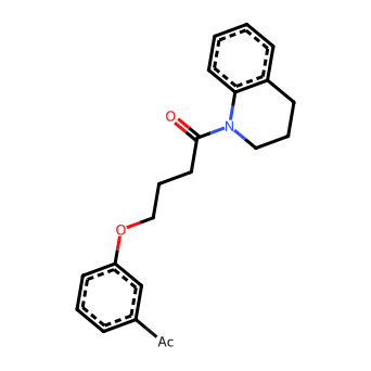 CC(=O)c1cccc(OCCCC(=O)N2CCCc3ccccc32)c1